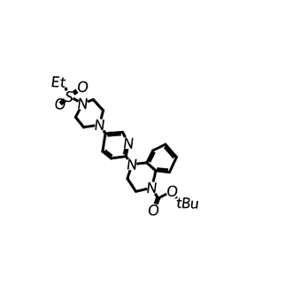 CCS(=O)(=O)N1CCN(c2ccc(N3CCN(C(=O)OC(C)(C)C)c4ccccc43)nc2)CC1